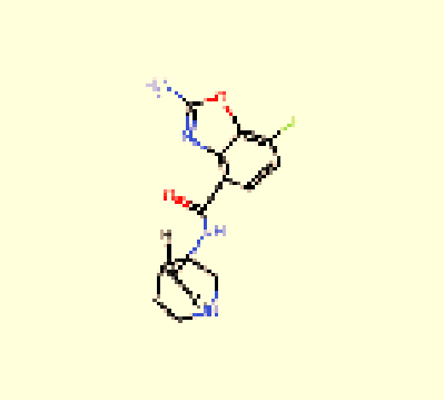 Nc1nc2c(C(=O)N[C@@H]3CN4CCC3CC4)ccc(F)c2o1